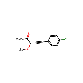 COC(=O)[C@H](C#Cc1ccc(Cl)cc1)OC(C)(C)C